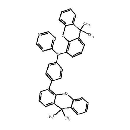 CC1(C)c2ccccc2Oc2c(-c3ccc(N(c4ncncn4)c4cccc5c4Oc4ccccc4C5(C)C)cc3)cccc21